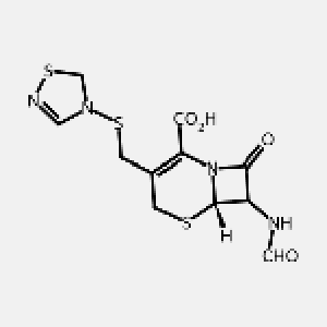 O=CNC1C(=O)N2C(C(=O)O)=C(CSN3C=NSC3)CS[C@@H]12